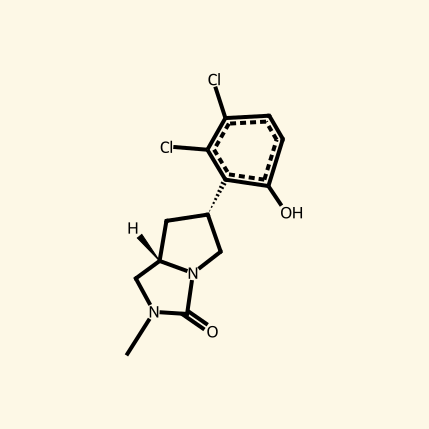 CN1C[C@@H]2C[C@H](c3c(O)ccc(Cl)c3Cl)CN2C1=O